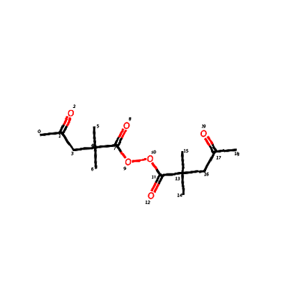 CC(=O)CC(C)(C)C(=O)OOC(=O)C(C)(C)CC(C)=O